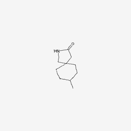 CC1CCC2(CC1)CNC(=O)C2